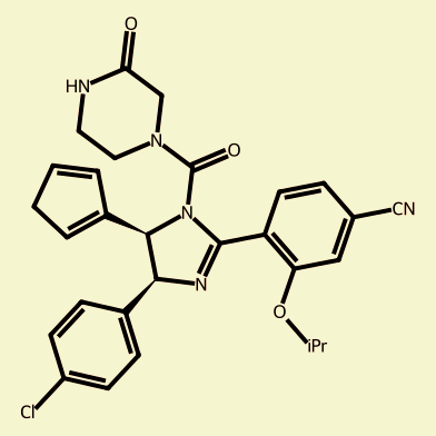 CC(C)Oc1cc(C#N)ccc1C1=N[C@@H](c2ccc(Cl)cc2)[C@@H](C2=CCC=C2)N1C(=O)N1CCNC(=O)C1